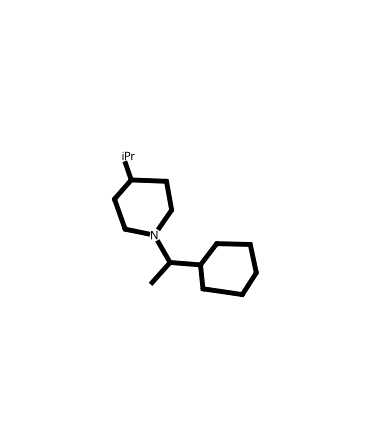 CC(C)C1CCN(C(C)C2CCCCC2)CC1